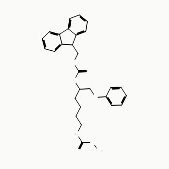 CC(C)(C)OC(=O)NCCCCC(CSc1ccccc1)NC(=O)OCC1c2ccccc2-c2ccccc21